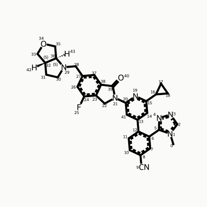 Cn1cnnc1-c1cc(C#N)ccc1-c1cc(C2CC2)nc(N2Cc3c(F)cc(CN4CC[C@@H]5COC[C@H]54)cc3C2=O)c1